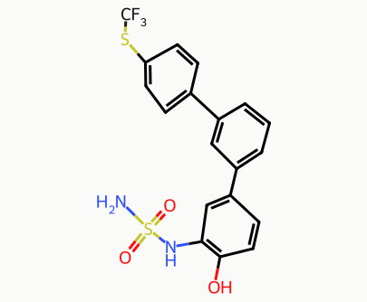 NS(=O)(=O)Nc1cc(-c2cccc(-c3ccc(SC(F)(F)F)cc3)c2)ccc1O